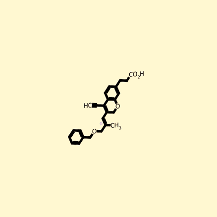 C#CC1=C(/C=C(\C)COCc2ccccc2)COc2cc(CCC(=O)O)ccc21